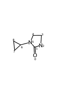 O=C1[N]CCN1C1CC1